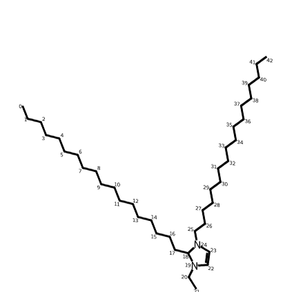 CCCCCCCCCCCCCCCCCCC1N(CC)C=CN1CCCCCCCCCCCCCCCCCC